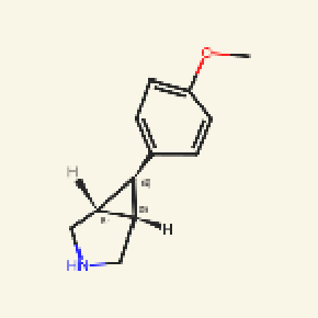 COc1ccc([C@H]2[C@@H]3CNC[C@@H]32)cc1